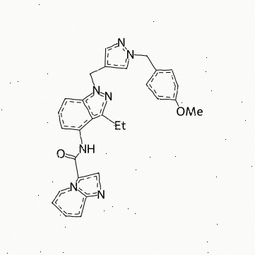 CCc1nn(Cc2cnn(Cc3ccc(OC)cc3)c2)c2cccc(NC(=O)c3cnc4ccccn34)c12